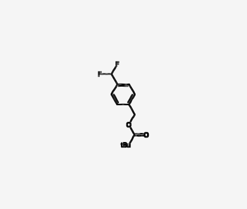 CC(C)(C)C(=O)OCc1ccc(C(F)F)cc1